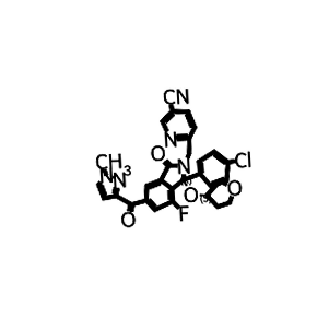 Cn1ccc(C(=O)c2cc(F)c3c(c2)C(=O)N(Cc2ccc(C#N)cn2)[C@@]3(O[C@H]2CCOC2)c2ccc(Cl)cc2)n1